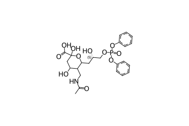 CC(=O)NCC1C(O)CC(O)(C(=O)O)OC1C[C@H](O)COP(=O)(Oc1ccccc1)Oc1ccccc1